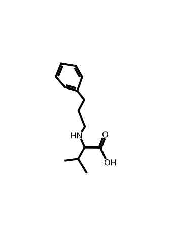 CC(C)C(NCCCc1ccccc1)C(=O)O